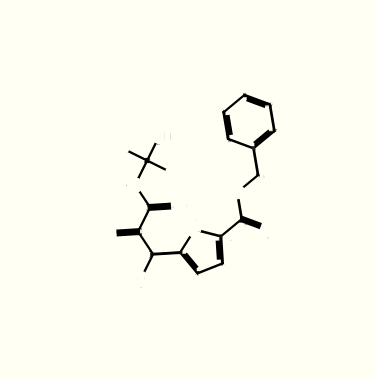 C=C(C(=O)OC(C)(C)C)C(O)c1ccc(C(=O)OCc2ccccc2)o1